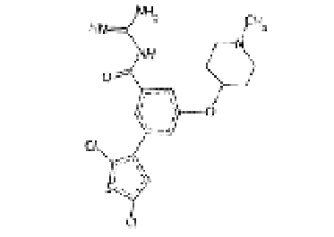 CN1CCC(Oc2cc(C(=O)NC(=N)N)cc(-c3cc(Cl)sc3Cl)c2)CC1